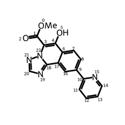 COC(=O)c1c(O)c2ccc(-c3ccccn3)cc2c2ncnn12